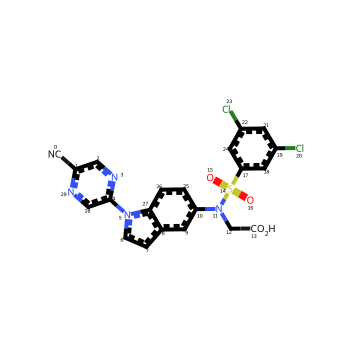 N#Cc1cnc(-n2ccc3cc(N(CC(=O)O)S(=O)(=O)c4cc(Cl)cc(Cl)c4)ccc32)cn1